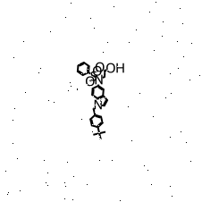 CC(C)(C)c1ccc(Cn2ccc3cc(N(CC(=O)O)S(=O)(=O)c4ccccc4)ccc32)cc1